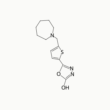 Oc1nnc(-c2ccc(CN3CCCCCC3)s2)o1